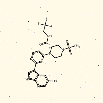 CS(=O)(=O)N1CCN(c2ccnc(-c3c[nH]c4ncc(Cl)cc34)n2)[C@H](C(=O)NCC(F)(F)F)C1